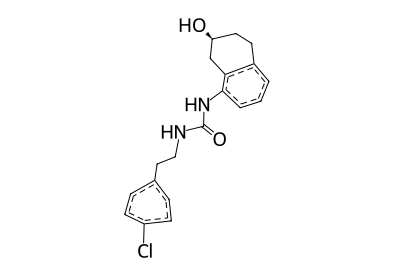 O=C(NCCc1ccc(Cl)cc1)Nc1cccc2c1C[C@@H](O)CC2